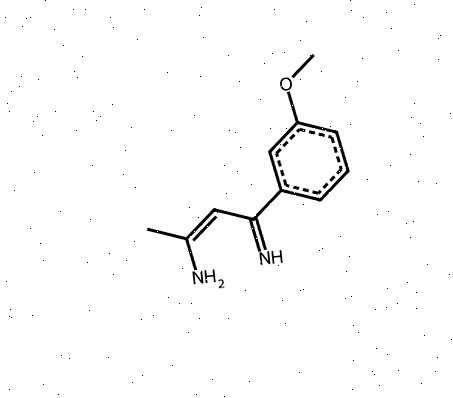 COc1cccc(C(=N)/C=C(/C)N)c1